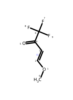 CO/C=C/C(=O)C(F)(F)F